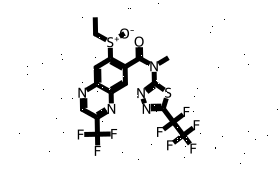 CC[S+]([O-])c1cc2ncc(C(F)(F)F)nc2cc1C(=O)N(C)c1nnc(C(F)(F)C(F)(F)F)s1